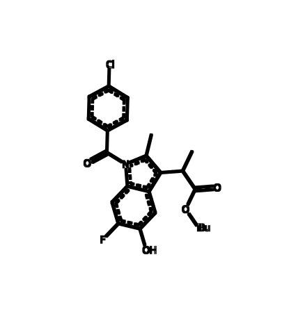 CCC(C)OC(=O)C(C)c1c(C)n(C(=O)c2ccc(Cl)cc2)c2cc(F)c(O)cc12